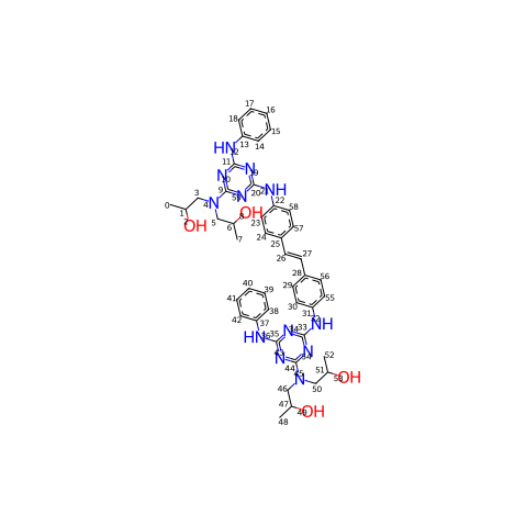 CC(O)CN(CC(C)O)c1nc(Nc2ccccc2)nc(Nc2ccc(/C=C/c3ccc(Nc4nc(Nc5ccccc5)nc(N(CC(C)O)CC(C)O)n4)cc3)cc2)n1